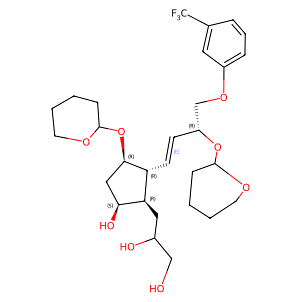 OCC(O)C[C@@H]1[C@@H](/C=C/[C@H](COc2cccc(C(F)(F)F)c2)OC2CCCCO2)[C@H](OC2CCCCO2)C[C@@H]1O